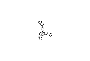 c1ccc(-c2ccc(N(c3ccc(-c4ccc5ccccc5c4)cc3)c3ccc4sc5ccccc5c4n3)cc2)cc1